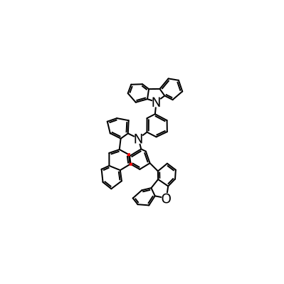 c1cc(-c2cccc3oc4ccccc4c23)cc(N(c2cccc(-n3c4ccccc4c4ccccc43)c2)c2ccccc2-c2ccc3ccccc3c2)c1